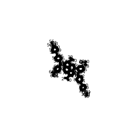 CC(C)c1cc(N(c2ccc(-c3ccc([Si](C)(C)C)cc3)cc2)c2ccc([Si](C)(C)C)cc2)c2ccc3c(C(C)C)cc(N(c4ccc(-c5ccc([Si](C)(C)C)cc5)cc4)c4ccc([Si](C)(C)C)cc4)c4ccc1c2c34